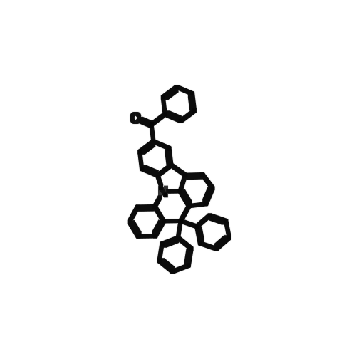 O=C(c1ccccc1)c1ccc2c(c1)c1cccc3c1n2-c1ccccc1C3(c1ccccc1)c1ccccc1